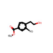 CC(C)(C)OC(=O)c1ccc(CCO)c(N=O)c1